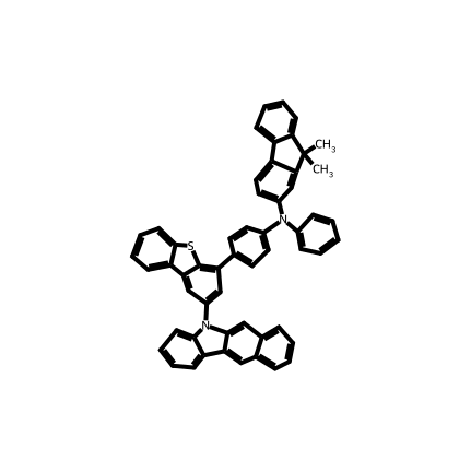 CC1(C)c2ccccc2-c2ccc(N(c3ccccc3)c3ccc(-c4cc(-n5c6ccccc6c6cc7ccccc7cc65)cc5c4sc4ccccc45)cc3)cc21